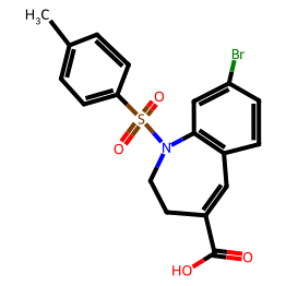 Cc1ccc(S(=O)(=O)N2CCC(C(=O)O)=Cc3ccc(Br)cc32)cc1